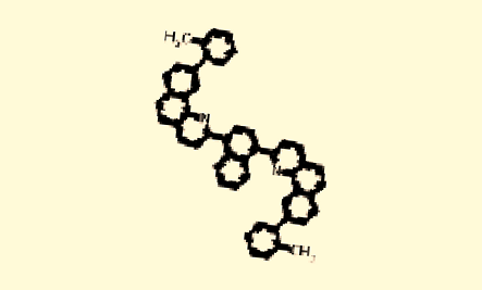 Cc1ccccc1-c1ccc2ccc3ccc(-c4ccc(-c5ccc6ccc7ccc(-c8ccccc8C)cc7c6n5)c5ccccc45)nc3c2c1